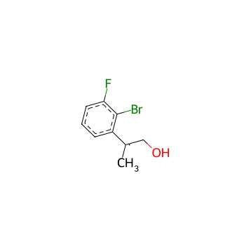 C[C](CO)c1cccc(F)c1Br